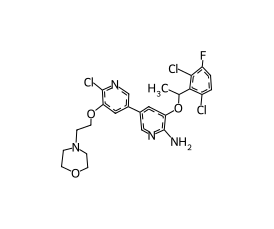 CC(Oc1cc(-c2cnc(Cl)c(OCCN3CCOCC3)c2)cnc1N)c1c(Cl)ccc(F)c1Cl